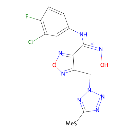 CSc1nnn(Cc2nonc2/C(=N\O)Nc2ccc(F)c(Cl)c2)n1